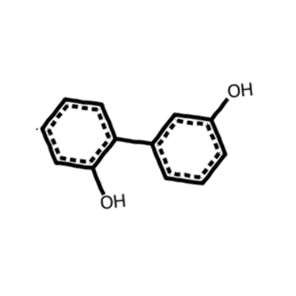 Oc1cccc(-c2cc[c]cc2O)c1